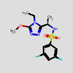 CCn1c(OC)nnc1[C@@H](C)NS(=O)(=O)c1cc(F)cc(F)c1